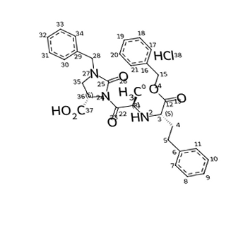 C[C@@H](N[C@@H](CCc1ccccc1)C(=O)OCc1ccccc1)C(=O)N1C(=O)N(Cc2ccccc2)C[C@H]1C(=O)O.Cl